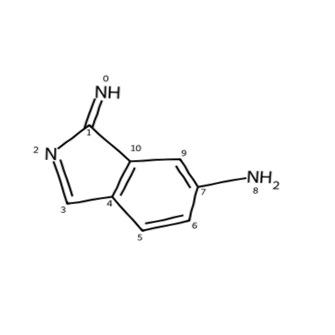 N=C1N=Cc2ccc(N)cc21